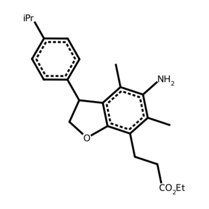 CCOC(=O)CCc1c(C)c(N)c(C)c2c1OCC2c1ccc(C(C)C)cc1